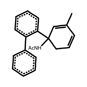 CC(=O)NC1(c2ccccc2-c2ccccc2)C=C(C)C=CC1